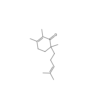 CC(C)=CCCC1(C)CCC(C)=C(C)C1=O